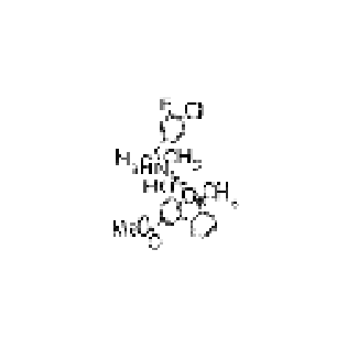 COC(=O)c1cccc(-c2ccccc2[C@@H](C)OC[C@H](O)CNC(C)(C)Cc2ccc(Cl)c(F)c2)c1